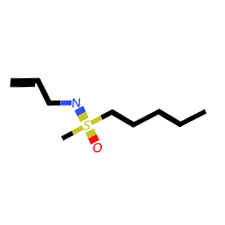 C=CCN=S(C)(=O)CCCCC